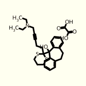 CCN(CC)CC#CCCC1(C2(O)c3ccccc3CCc3ccccc32)SCCCS1.O=C(O)C(=O)O